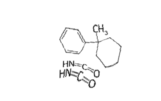 CC1(c2ccccc2)CCCCC1.N=C=O.N=C=O